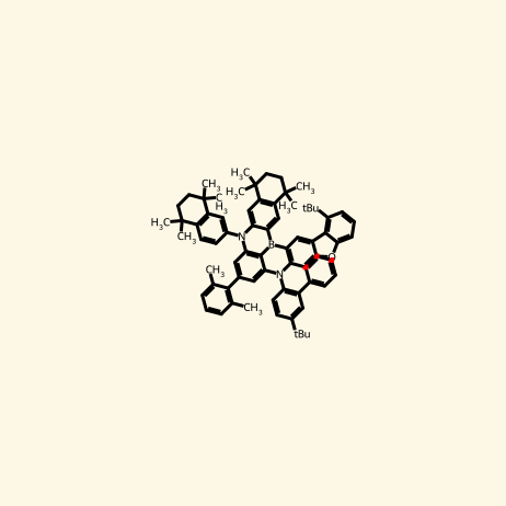 Cc1cccc(C)c1-c1cc2c3c(c1)N(c1ccc(C(C)(C)C)cc1-c1ccccc1)c1cc4oc5cccc(C(C)(C)C)c5c4cc1B3c1cc3c(cc1N2c1ccc2c(c1)C(C)(C)CCC2(C)C)C(C)(C)CCC3(C)C